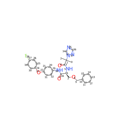 CC(C)(C(=O)N[C@@H](COCc1ccccc1)C(=O)Nc1ccc(Oc2ccc(F)cc2)cc1)n1cncn1